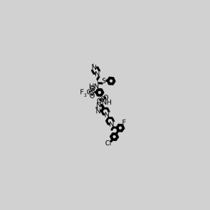 CC(c1cc(F)ccc1-c1ccc(Cl)cc1)N1CCC(N2CCc3c(ncnc3NS(=O)(=O)c3ccc(N[C@H](CCN4CCN(C)CC4)CSc4ccccc4)c(S(=O)(=O)C(F)(F)F)c3)C2)CC1